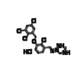 Cl.N=CN(N)/N=C/c1cccc(OCc2cc(Cl)cc(Cl)c2Cl)c1Cl